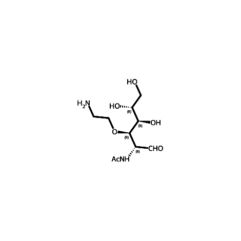 CC(=O)N[C@@H](C=O)[C@@H](OCCN)[C@H](O)[C@H](O)CO